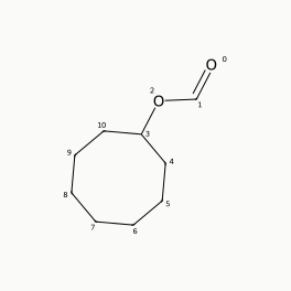 O=COC1CCCCCCC1